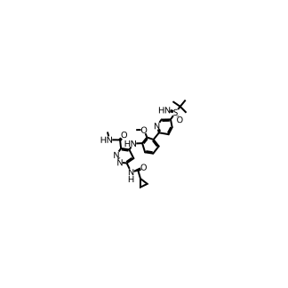 CNC(=O)c1nnc(NC(=O)C2CC2)cc1Nc1cccc(-c2ccc(S(=N)(=O)C(C)(C)C)cn2)c1OC